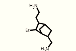 CCC1C(CCN)C2CC(CN)C1C2